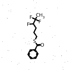 CC(F)(F)C(F)CCCSC(=O)c1ccccc1